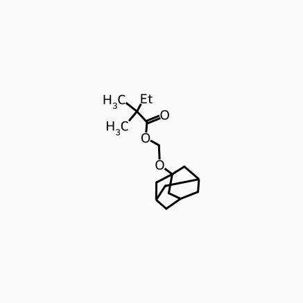 CCC(C)(C)C(=O)OCOC12CC3CC(CC(C3)C1)C2